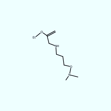 C=C(CNCCCON(C)C)OCC